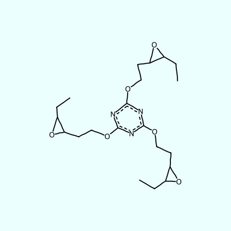 CCC1OC1CCOc1nc(OCCC2OC2CC)nc(OCCC2OC2CC)n1